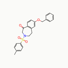 Cc1ccc(S(=O)(=O)N2CCc3cc(OCc4ccccc4)ccc3C(=O)C2)cc1